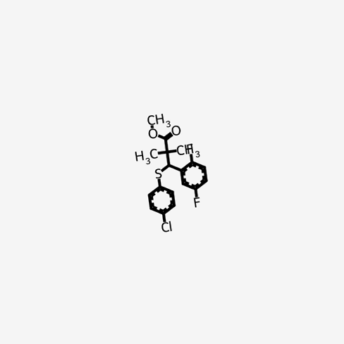 COC(=O)C(C)(C)C(Sc1ccc(Cl)cc1)c1cc(F)ccc1F